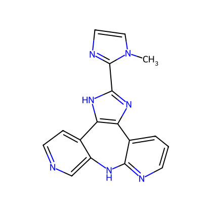 Cn1ccnc1-c1nc2c([nH]1)-c1ccncc1Nc1ncccc1-2